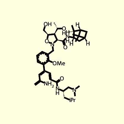 C=C(N)/C=C(\C=C\C(=O)N[C@@H](CC(C)C)CN(C)C)c1cccc(CN2O[C@@H](CO)[C@@H]([C@H](C)O)[C@H]2C(=O)N[C@H]2C[C@H]3C[C@@H]([C@@H]2C)C3(C)C)c1OC